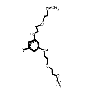 COCCOCCNc1cc(I)cc(NCCOCCOC)c1